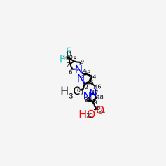 CCc1nc(N2CC3C(C2)C3(F)F)ccc1Cn1cc(C(=O)O)cn1